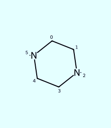 C1C[N]CC[N]1